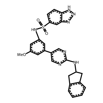 COc1cc(NS(=O)(=O)c2ccc3[nH]nnc3c2)cc(-c2cnc(NC3Cc4ccccc4C3)nc2)c1